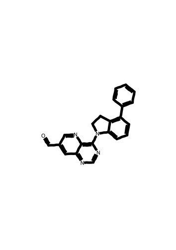 O=Cc1cnc2c(N3CCc4c(-c5ccccc5)cccc43)ncnc2c1